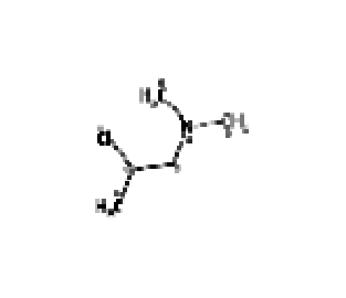 CC(Cl)CN(C)C